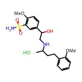 COc1ccccc1CCC(C)NCC(O)c1ccc(OC)c(S(N)(=O)=O)c1.Cl